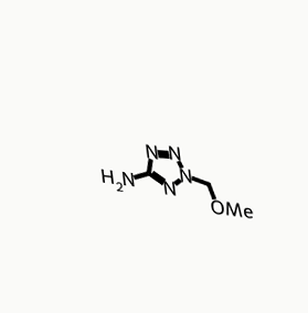 COCn1nnc(N)n1